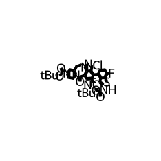 CC(C)(C)OC(=O)Nc1sc2c(F)ccc(-c3c(F)cc4c5c3c(Cl)nn5CCC3CN(C(=O)OC(C)(C)C)CCN3C4=O)c2c1C#N